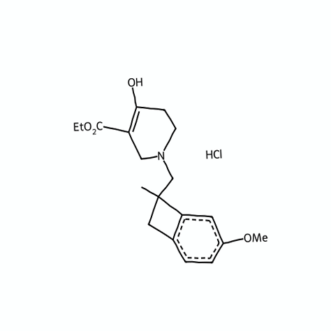 CCOC(=O)C1=C(O)CCN(CC2(C)Cc3ccc(OC)cc32)C1.Cl